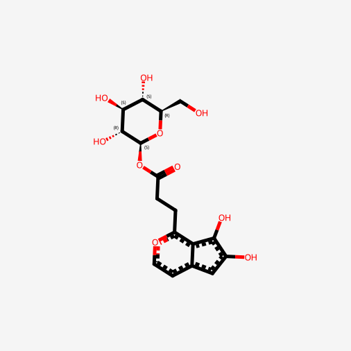 O=C(CCc1occc2cc(O)c(O)c1-2)O[C@@H]1O[C@H](CO)[C@@H](O)[C@H](O)[C@H]1O